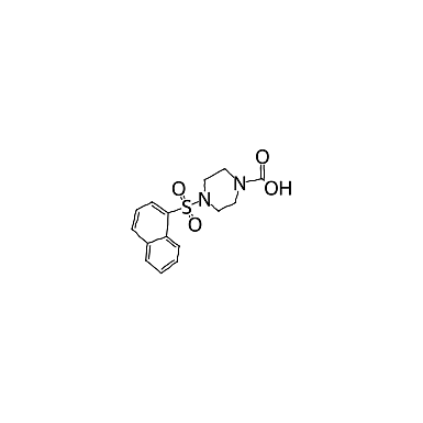 O=C(O)N1CCN(S(=O)(=O)c2cccc3ccccc23)CC1